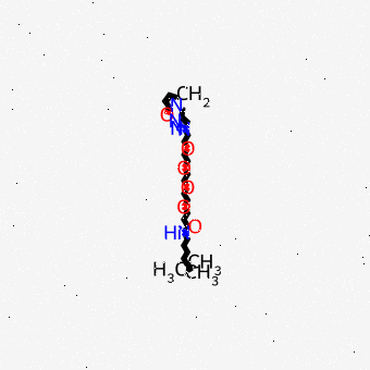 C=C1C=CC(=O)N1Cc1cn(CCOCCOCCOCCOCCC(=O)NCCCCC(C)(C)C)nn1